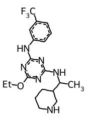 CCOc1nc(Nc2cccc(C(F)(F)F)c2)nc(NC(C)C2CCCNC2)n1